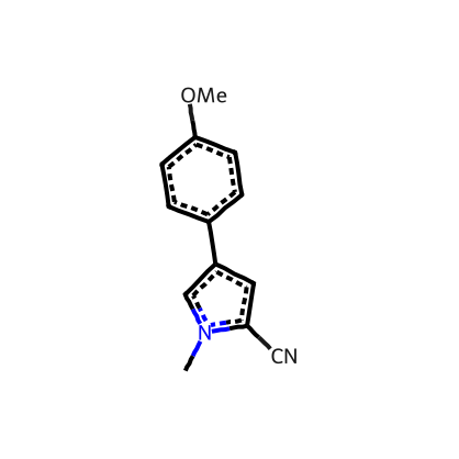 COc1ccc(-c2cc(C#N)n(C)c2)cc1